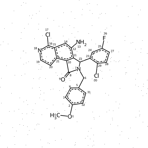 COc1ccc(CN2C(=O)c3c(c(N)cc4c(Cl)nccc34)C2c2cc(F)ccc2Cl)cc1